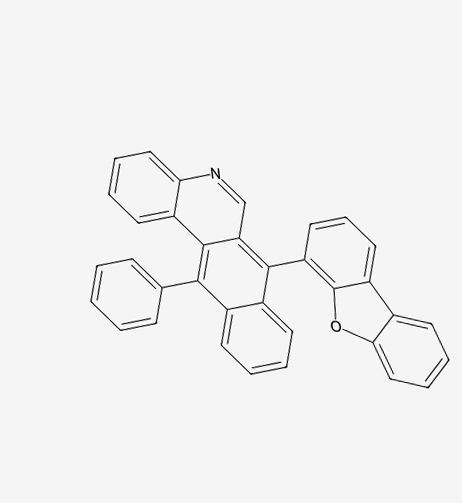 c1ccc(-c2c3ccccc3c(-c3cccc4c3oc3ccccc34)c3cnc4ccccc4c23)cc1